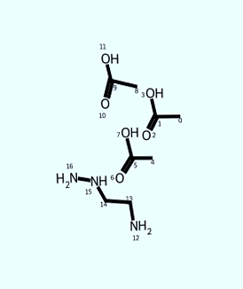 CC(=O)O.CC(=O)O.CC(=O)O.NCCNN